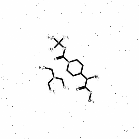 CCN(CC)CC.COC(=O)C(N)C1CCN(C(=O)OC(C)(C)C)CC1